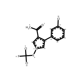 CC(=O)c1cn(SC(F)(Cl)Cl)cc1-c1cccc(Cl)c1